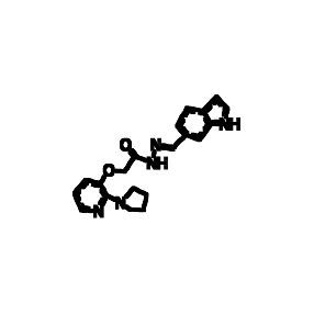 O=C(COc1cccnc1N1CCCC1)NN=Cc1ccc2cc[nH]c2c1